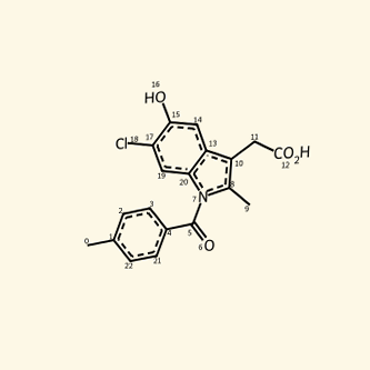 Cc1ccc(C(=O)n2c(C)c(CC(=O)O)c3cc(O)c(Cl)cc32)cc1